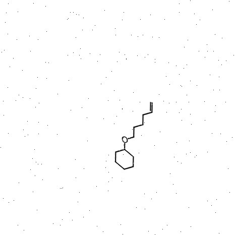 C=CCCCCOC1CCCCC1